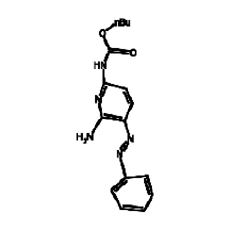 CCCCOC(=O)Nc1ccc(/N=N/c2ccccc2)c(N)n1